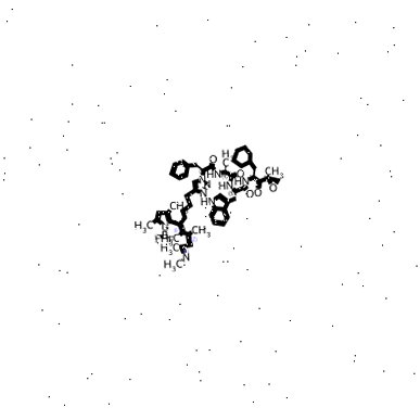 C/N=C(C)/C=C(C)\C(C)=C(/CCCCc1cn([C@@H](Cc2ccccc2)C(=O)N[C@H](C)C(=O)N[C@@H](Cc2c[nH]c3ccccc23)C(=O)N[C@@H](CC2CCCCC2)C(=O)[C@@]2(C)CO2)nn1)c1c(C)cc(C)n1B(F)F